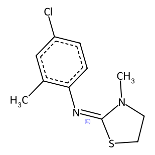 Cc1cc(Cl)ccc1/N=C1/SCCN1C